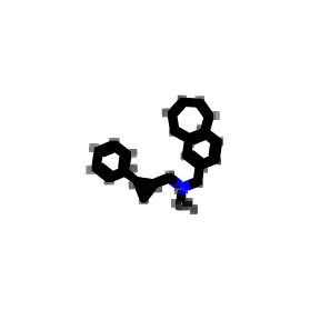 CN(Cc1ccc2c(c1)CCCCC2)CC1C[C@H]1c1ccccc1